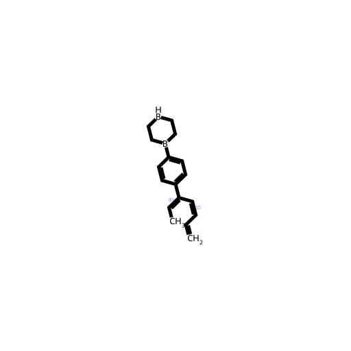 C=C/C=C\C(=C/C)c1ccc(B2CCBCC2)cc1